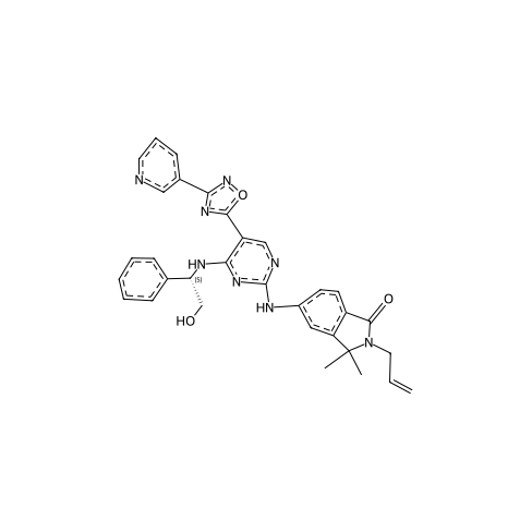 C=CCN1C(=O)c2ccc(Nc3ncc(-c4nc(-c5cccnc5)no4)c(N[C@H](CO)c4ccccc4)n3)cc2C1(C)C